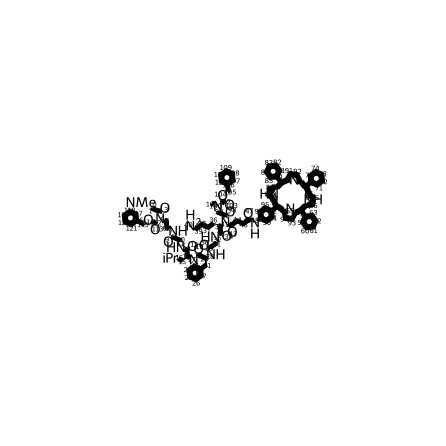 CNCC(=O)N(CCNC(=O)CNC(=O)[C@H](CC(C)C)NC(=O)[C@H](Cc1ccccc1)NC(=O)CNC(=O)[C@H](CCCCN)N(C(=O)CCC(=O)Nc1ccc(-c2c3nc(c(-c4ccccc4)c4ccc([nH]4)c(-c4ccccc4)c4nc(c(-c5ccccc5)c5ccc2[nH]5)C=C4)C=C3)cc1)C(=O)CN(C)C(=O)OCc1ccccc1)C(=O)OCc1ccccc1